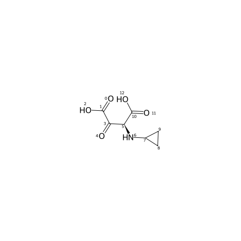 O=C(O)C(=O)[C@H](NC1CC1)C(=O)O